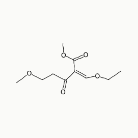 CCOC=C(C(=O)CCOC)C(=O)OC